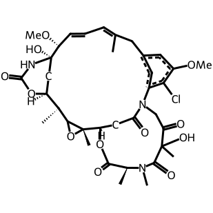 COc1cc2cc(c1Cl)N1CC(=O)C(C)(O)C(=O)N(C)[C@@H](C)C(=O)O[C@@H](CC1=O)[C@]1(C)OC1[C@H](C)[C@@H]1C[C@@](O)(NC(=O)O1)[C@H](OC)/C=C/C=C(\C)C2